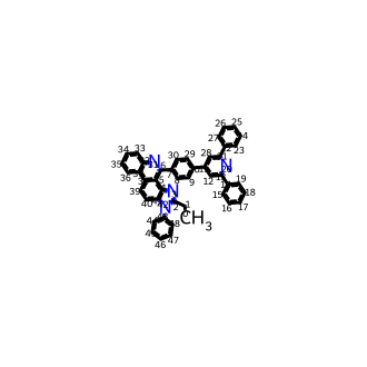 CCc1nc2c3c(-c4ccc(-c5cc(-c6ccccc6)nc(-c6ccccc6)c5)cc4)nc4ccccc4c3ccc2n1-c1ccccc1